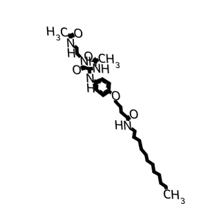 CCCCCCCCCCCCNC(=O)CCCOc1ccc(NC(NC(C)=O)C(=O)NCCNC(C)=O)cc1